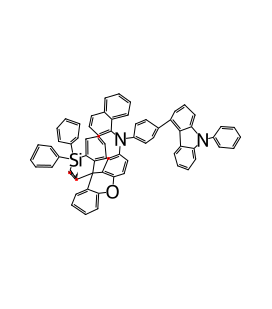 c1ccc(-n2c3ccccc3c3c(-c4ccc(N(c5ccc6c(c5)C5(c7ccccc7O6)c6ccccc6[Si](c6ccccc6)(c6ccccc6)c6ccccc65)c5cccc6ccccc56)cc4)cccc32)cc1